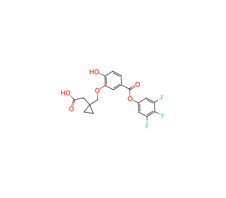 O=C(O)CC1(COc2cc(C(=O)Oc3cc(F)c(F)c(F)c3)ccc2O)CC1